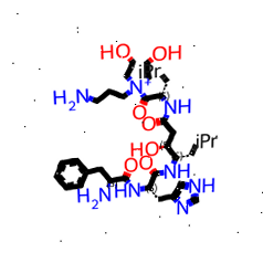 CC(C)C[C@H](NC(=O)C[C@H](O)[C@H](CC(C)C)NC(=O)[C@H](Cc1c[nH]cn1)NC(=O)[C@@H](N)Cc1ccccc1)C(=O)[N+](CCO)(CCO)CCCN